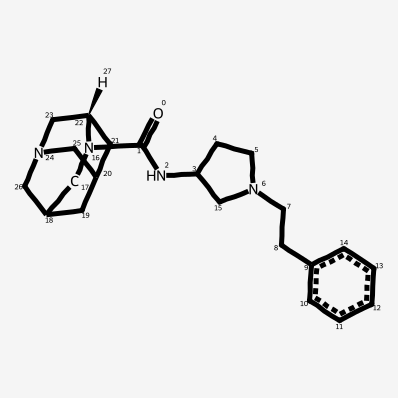 O=C(NC1CCN(CCc2ccccc2)C1)N1CC2CC3C[C@H]1CN(C3)C2